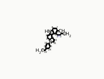 C=C/C=C\c1c(C)ccc2[nH]c3c(c12)=C1C=CN(c2ccc(C=C)cc2)C1CC=3